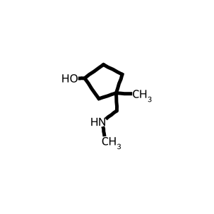 CNCC1(C)CCC(O)C1